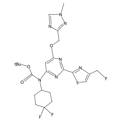 Cn1cnc(COc2cc(N(C(=O)OC(C)(C)C)C3CCC(F)(F)CC3)nc(-c3nc(CF)cs3)n2)n1